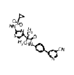 CC(C)(C(=O)Nc1ccc(-c2cncc(C#N)c2)cc1)c1csc(NS(=O)(=O)C2CC2)n1